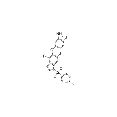 Cc1ccc(S(=O)(=O)n2ccc3c(F)c(Oc4ccc(F)c(N)c4)c(F)cc32)cc1